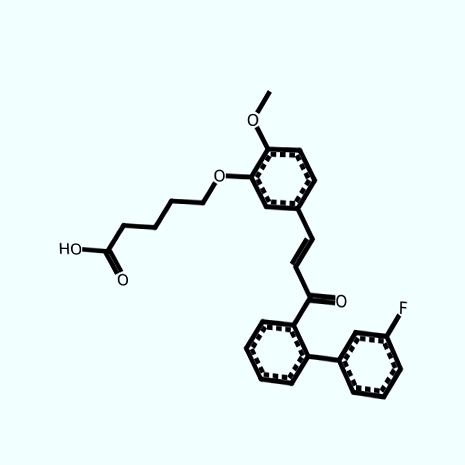 COc1ccc(/C=C/C(=O)c2ccccc2-c2cccc(F)c2)cc1OCCCCC(=O)O